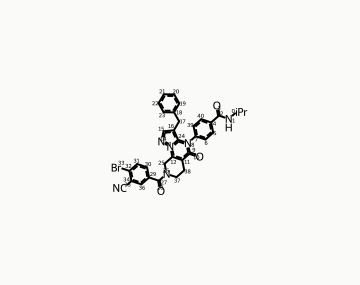 CC(C)NC(=O)c1ccc(-n2c(=O)c3c(n4ncc(Cc5ccccc5)c24)CN(C(=O)c2ccc(Br)c(C#N)c2)CC3)cc1